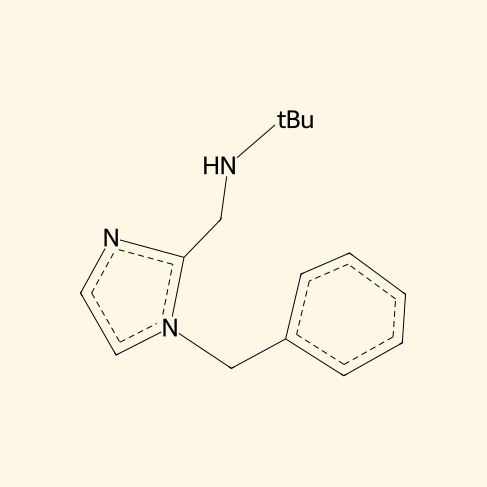 CC(C)(C)NCc1nccn1Cc1ccccc1